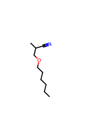 CCCCCCOCC(C)C#N